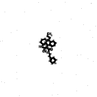 CCCOc1ccccc1C1C(C(=O)OCCc2ccccc2)=C(C)NC2=C1C(=O)CCC2